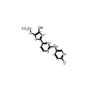 CCOC(=O)Oc1sc(-c2ccnc(Nc3ccc(Cl)nc3)n2)nc1O